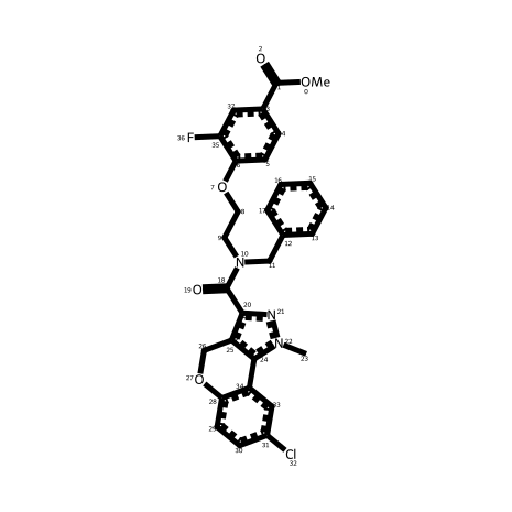 COC(=O)c1ccc(OCCN(Cc2ccccc2)C(=O)c2nn(C)c3c2COc2ccc(Cl)cc2-3)c(F)c1